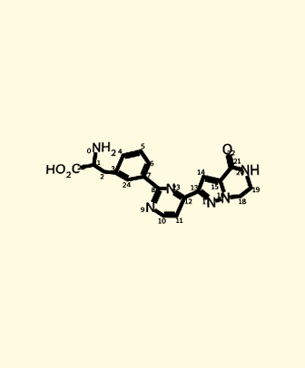 NC(Cc1cccc(-c2nccc(-c3cc4n(n3)CCNC4=O)n2)c1)C(=O)O